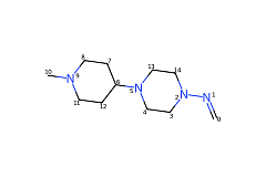 C=NN1CCN(C2CCN(C)CC2)CC1